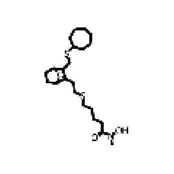 CN(O)C(=O)CCCCSCCC1C2CCC(O2)C1CSC1CCCCCC1